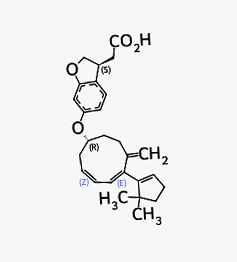 C=C1CC[C@@H](Oc2ccc3c(c2)OC[C@H]3CC(=O)O)C/C=C\C=C/1C1=CCCC1(C)C